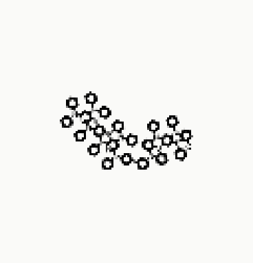 c1ccc(N(c2ccccc2)c2cc3c4c(n2)N(c2ccccc2)c2cc5c(cc2B4c2ccccc2N3c2ccccc2)B2c3ccccc3N(c3ccccc3)c3cc(N(c4ccccc4)c4ccc(-c6cccc(N7c8ccccc8B8c9cc%10c(cc9N(c9ccccc9)c9cccc7c98)N(c7ccccc7)c7cccc8c7B%10c7ccccc7O8)c6)cc4)nc(c32)N5c2ccccc2)cc1